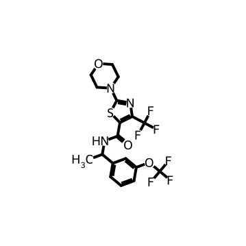 CC(NC(=O)c1sc(N2CCOCC2)nc1C(F)(F)F)c1cccc(OC(F)(F)F)c1